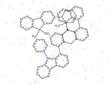 CC1(C)c2ccccc2-c2ccc(C3C=CC=CC3(C)N(c3cccc(-c4cccc5c6ccccc6n(-c6ccccc6)c45)c3)c3ccccc3-c3cccc4cccc(C5CCCCC5)c34)cc21